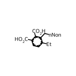 CCCCCCCCCCc1c(CC)ccc(C(=O)O)c1C(=O)O